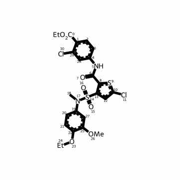 CCOC(=O)c1ccc(NC(=O)c2sc(Cl)cc2S(=O)(=O)N(C)c2ccc(OCC)c(OC)c2)cc1Cl